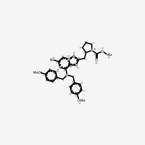 COc1ccc(CN(Cc2ccc(OC)cc2)c2nc(Br)cn3nc(CC4CCCN4C(=O)OC(C)(C)C)nc23)cc1